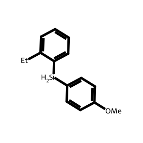 CCc1ccccc1[SiH2]c1ccc(OC)cc1